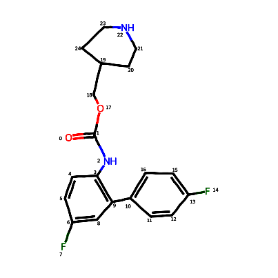 O=C(Nc1ccc(F)cc1-c1ccc(F)cc1)OCC1CCNCC1